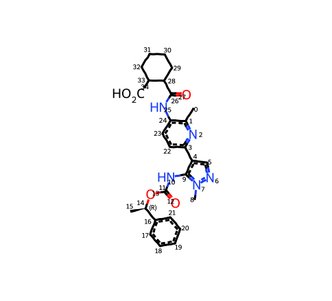 Cc1nc(-c2cnn(C)c2NC(=O)O[C@H](C)c2ccccc2)ccc1NC(=O)C1CCCCC1C(=O)O